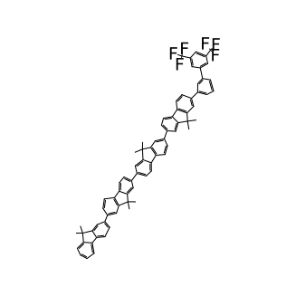 CC1(C)c2ccccc2-c2ccc(-c3ccc4c(c3)C(C)(C)c3cc(-c5ccc6c(c5)C(C)(C)c5cc(-c7ccc8c(c7)C(C)(C)c7cc(-c9cccc(-c%10cc(C(F)(F)F)cc(C(F)(F)F)c%10)c9)ccc7-8)ccc5-6)ccc3-4)cc21